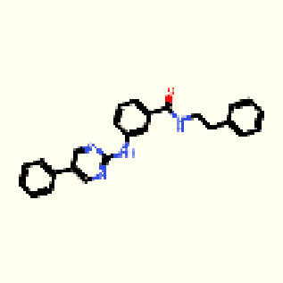 O=C(NCCc1ccccc1)c1cccc(Nc2ncc(-c3ccccc3)cn2)c1